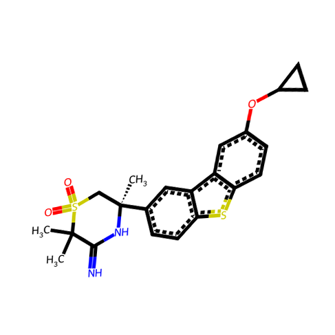 CC1(C)C(=N)N[C@](C)(c2ccc3sc4ccc(OC5CC5)cc4c3c2)CS1(=O)=O